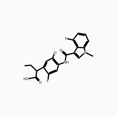 CCC(C(=O)O)c1cc(Cl)c(NC(=O)c2cn(C)c3cccc(F)c23)cc1F